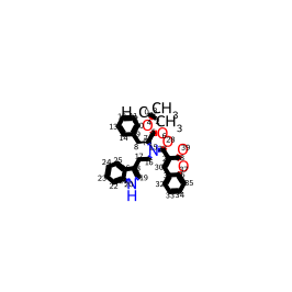 CC(C)(C)OC(=O)[C@H](Cc1ccccc1)N(CCc1c[nH]c2ccccc12)C(=O)c1cc2ccccc2oc1=O